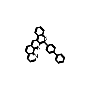 c1ccc(-c2ccc(-c3nc4ccccc4c4cc5ccc6cccnc6c5nc34)cc2)cc1